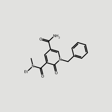 CCN(C)C(=O)c1cc(C(N)=O)cn(Cc2ccccc2)c1=O